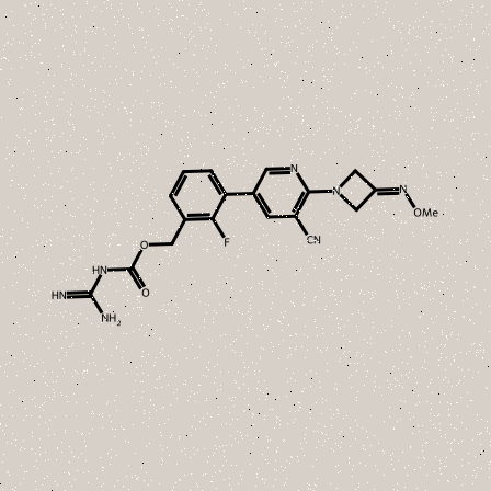 CON=C1CN(c2ncc(-c3cccc(COC(=O)NC(=N)N)c3F)cc2C#N)C1